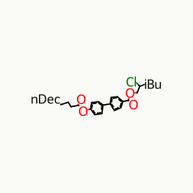 CCCCCCCCCCCCCC(=O)Oc1ccc(-c2ccc(C(=O)OCC(Cl)C(C)CC)cc2)cc1